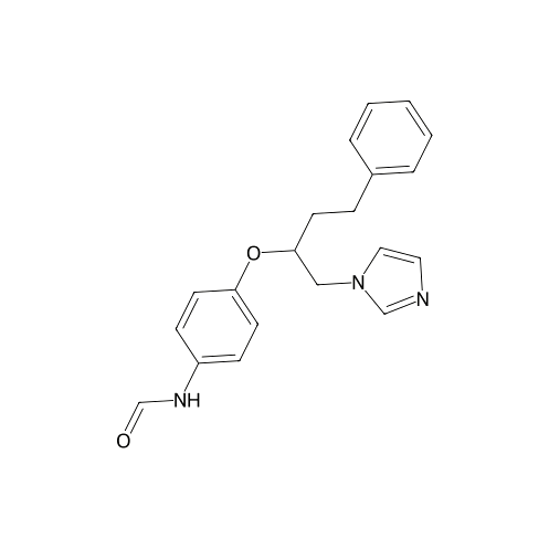 O=CNc1ccc(OC(CCc2ccccc2)Cn2ccnc2)cc1